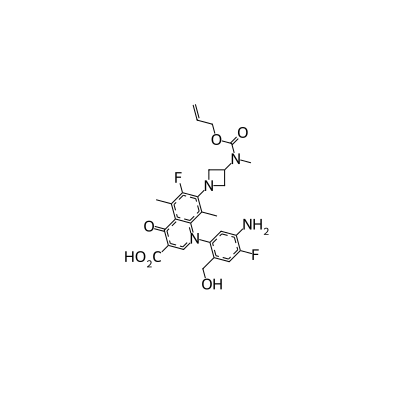 C=CCOC(=O)N(C)C1CN(c2c(F)c(C)c3c(=O)c(C(=O)O)cn(-c4cc(N)c(F)cc4CO)c3c2C)C1